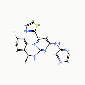 C[C@H](Nc1nc(Nc2cnccn2)cc(-c2nccs2)n1)c1ccc(F)cc1